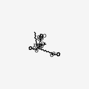 CCCCCCCCCCC[C@](CCCCCCCCCCC(=O)OCc1ccccc1)(C(=O)N[C@@H](CCC(=O)ON1C(=O)CCC1=O)C(=O)OC(C)(C)C)C(=O)OCc1ccccc1